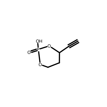 C#CC1CCOP(=O)(O)O1